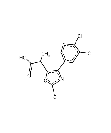 CC(C(=O)O)c1oc(Cl)nc1-c1ccc(Cl)c(Cl)c1